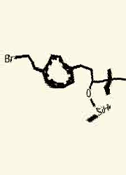 C[SiH](C)OC(Cc1ccc(CCBr)cc1)C(C)(C)C